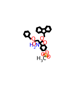 CS(=O)(=O)Oc1ccc(C(N)(CC(=O)OCc2ccccc2)C(=O)OCC2c3ccccc3-c3ccccc32)cc1